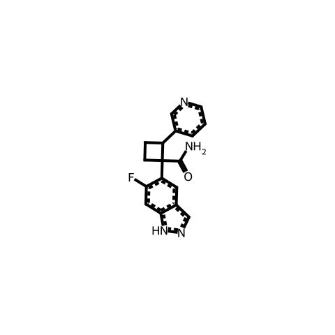 NC(=O)C1(c2cc3cn[nH]c3cc2F)CCC1c1cccnc1